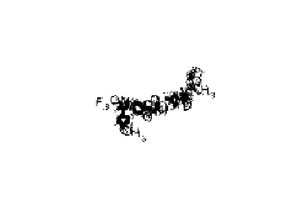 Cc1ccc(-c2cc(C(F)(F)F)nn2-c2ccc(S(=O)(=O)NC(=O)OCC3CN(/[N+]([O-])=N/OC(C)OC(=O)OC(C)C)C3)cc2)cc1